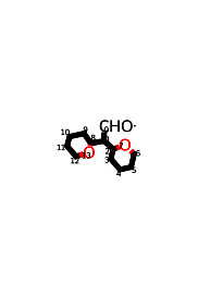 O=[C]C(C1CCCCO1)C1CCCCO1